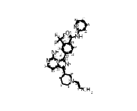 CC=CN1CCCC(c2nc(-c3ccc(C(=O)Nc4ccccn4)c(C(F)(F)F)c3)n3c(N)nccc23)C1